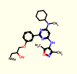 CNCC(O)COc1cccc(-c2nc(Nc3c(C)noc3C)cc(N(C)C3CCCCC3)n2)c1